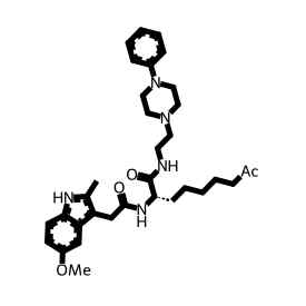 COc1ccc2[nH]c(C)c(CC(=O)N[C@@H](CCCCCC(C)=O)C(=O)NCCN3CCN(c4ccccc4)CC3)c2c1